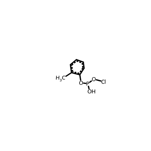 Cc1ccccc1OP(O)OCl